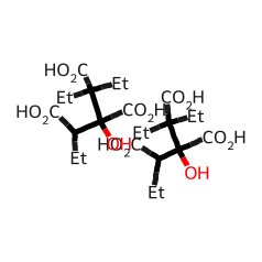 CCC(C(=O)O)C(O)(C(=O)O)C(CC)(CC)C(=O)O.CCC(C(=O)O)C(O)(C(=O)O)C(CC)(CC)C(=O)O